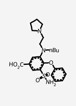 CCCCN(CCN1CCCC1)c1cc(C(=O)O)cc(S(N)(=O)=O)c1Oc1ccccc1